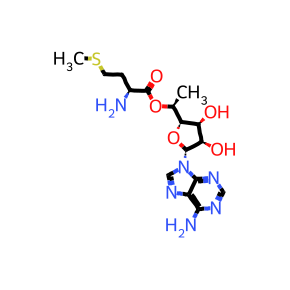 CSCC[C@H](N)C(=O)O[C@@H](C)[C@H]1O[C@@H](n2cnc3c(N)ncnc32)[C@H](O)[C@@H]1O